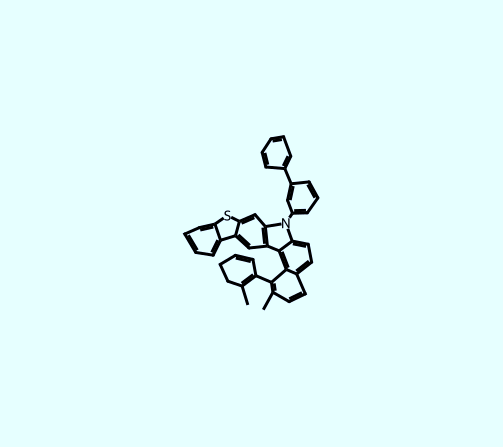 CC1=C(c2c(C)ccc3ccc4c(c5cc6c(cc5n4-c4cccc(-c5ccccc5)c4)sc4ccccc46)c23)C=CCC1